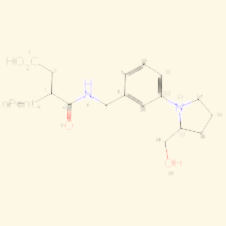 CCCCCC(CC(=O)O)C(=O)NCc1cccc(N2CCCC2CO)c1